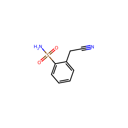 N#CCc1ccccc1S(N)(=O)=O